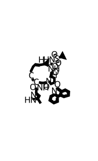 Cc1cc(C(=O)N[C@H]2CCCCC/C=C/[C@@H]3C[C@@]3(C(=O)NS(=O)(=O)C3CC3)NC(=O)[C@@H]3CC(Oc4nc5ccccc5c5ccccc45)CN3C2=O)n[nH]1